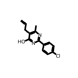 C=CCc1c(C)nc(-c2ccc(Cl)cc2)nc1O